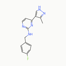 Cc1n[nH]cc1-c1ccnc(NCc2ccc(F)cc2)n1